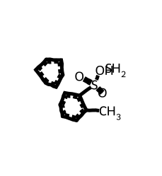 Cc1ccccc1S(=O)(=O)O.S.c1ccccc1